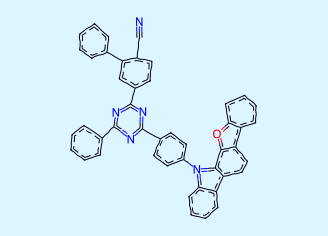 N#Cc1ccc(-c2nc(-c3ccccc3)nc(-c3ccc(-n4c5ccccc5c5ccc6c7ccccc7oc6c54)cc3)n2)cc1-c1ccccc1